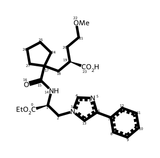 CCOC(=O)[C@H](Cn1cnc(-c2ccccc2)c1)NC(=O)C1(C[C@@H](CCOC)C(=O)O)CCCC1